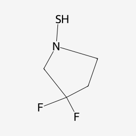 FC1(F)CCN(S)C1